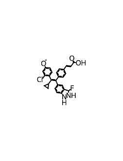 COc1ccc(/C(=C(\c2ccc(/C=C/C(=O)O)cc2)c2ccc3c(c2)C(F)NN3)C2CC2)c(Cl)c1